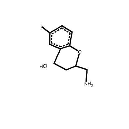 Cl.NCC1CCc2cc(I)ccc2O1